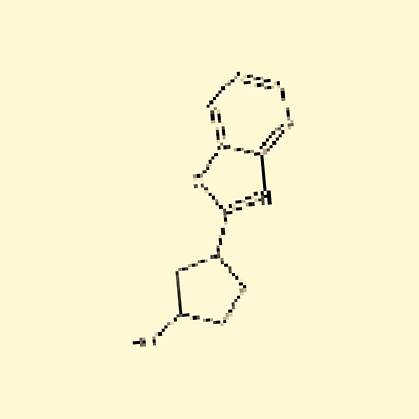 OC1CCC(c2nc3ccccc3o2)C1